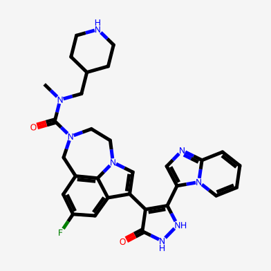 CN(CC1CCNCC1)C(=O)N1CCn2cc(-c3c(-c4cnc5ccccn45)[nH][nH]c3=O)c3cc(F)cc(c32)C1